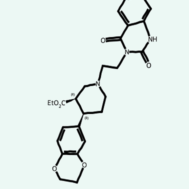 CCOC(=O)[C@H]1CN(CCn2c(=O)[nH]c3ccccc3c2=O)CC[C@H]1c1ccc2c(c1)OCCO2